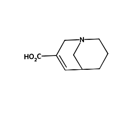 O=C(O)C1=CC2CCCN(C1)C2